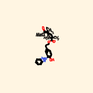 CCC(C)(CC(C)(C)C(=O)OCCc1ccc(O)c(-n2n3c4ccccc4n23)c1)C(=O)OC